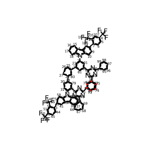 FC(F)(F)c1ccc(-c2ccc3c(c2)c2ccccc2n3-c2cc(-c3cccc(-c4ccc(-n5c6ccccc6c6cc(-c7ccc(C(F)(F)F)cc7C(F)(F)F)ccc65)c(-c5nc(-c6ccccc6)nc(-c6ccccc6)n5)c4)c3)cc(-c3nc(-c4ccccc4)nc(-c4ccccc4)n3)c2)c(C(F)(F)F)c1